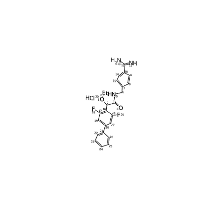 CCOC(C(=O)NCc1ccc(C(=N)N)cc1)c1c(F)cc(-c2ccccc2)cc1F.Cl